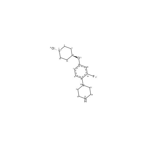 [O-][S@+]1CC[C@@H](Oc2ccc(N3CCNCC3)c(F)c2)CC1